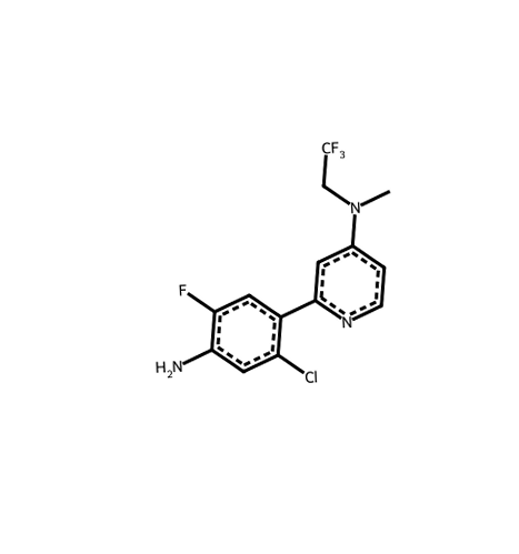 CN(CC(F)(F)F)c1ccnc(-c2cc(F)c(N)cc2Cl)c1